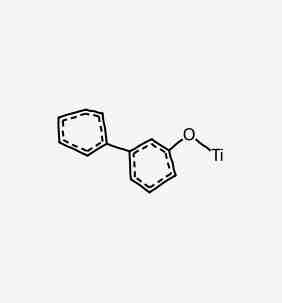 [Ti][O]c1cccc(-c2ccccc2)c1